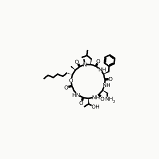 CCCCCC[C@H]1OC(=O)CNC(=O)[C@H](C(C)O)NC(=O)[C@H](CN)NC(=O)[C@H](Cc2ccccc2)NC(=O)[C@H](CC(C)C)N(C)C(=O)[C@@H]1C